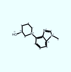 Cn1cnc2c(N3CCC[C@H](O)C3)cccc21